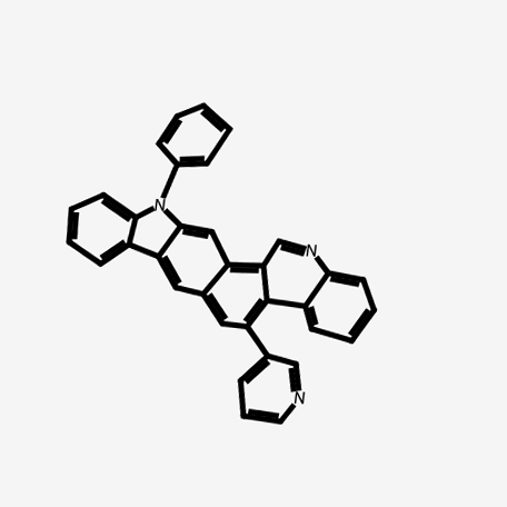 c1ccc(-n2c3ccccc3c3cc4cc(-c5cccnc5)c5c6ccccc6ncc5c4cc32)cc1